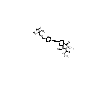 CNC(=O)C(NC=O)N(C)C(=O)c1ccc(C#Cc2ccc(COCC(C)(C)PI)cc2)cc1